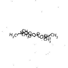 CCCCC[Si](C)(C)C1CCC(CC(=O)C2CCC(C(=O)OC3CCC([Si](C)(C)CCCCC)CC3)CC2)CC1